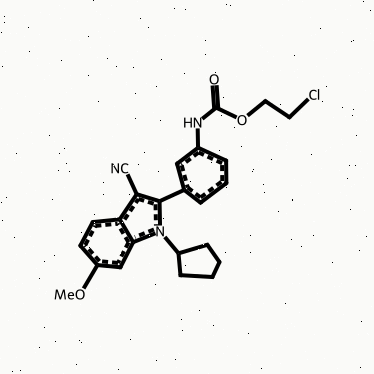 COc1ccc2c(C#N)c(-c3cccc(NC(=O)OCCCl)c3)n(C3CCCC3)c2c1